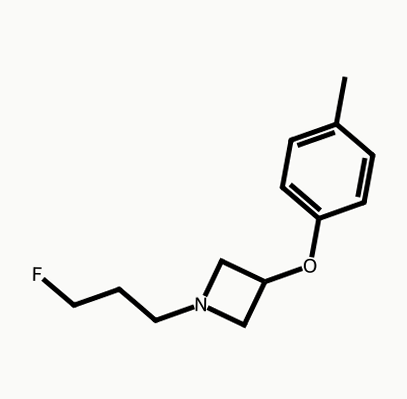 Cc1ccc(OC2CN(CCCF)C2)cc1